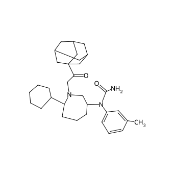 Cc1cccc(N(C(N)=O)C2CCCC(C3CCCCC3)N(CC(=O)C34CC5CC(CC(C5)C3)C4)C2)c1